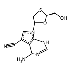 N#Cc1cn(C2CS[C@@H](CO)O2)c2c1C(N)N=CN2